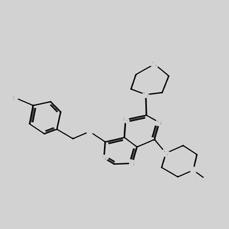 [O-][S+]1CCN(c2nc(N3CCNCC3)nc3c(SCc4ccc(F)cc4)ncnc23)CC1